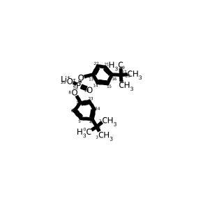 CC(C)(C)c1ccc(OP(=O)([O-])Oc2ccc(C(C)(C)C)cc2)cc1.[Li+]